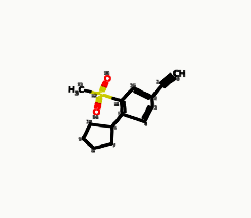 C#Cc1ccc(C2CCCC2)c(S(C)(=O)=O)c1